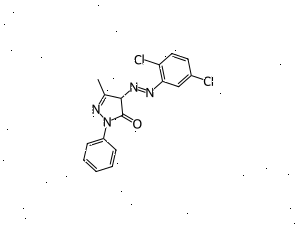 CC1=NN(c2ccccc2)C(=O)C1N=Nc1cc(Cl)ccc1Cl